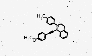 COc1ccc(C#CC2c3ccccc3CCN2c2ccc(C)cc2)cc1